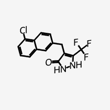 O=c1[nH][nH]c(C(F)(F)F)c1Cc1ccc2c(Cl)cccc2c1